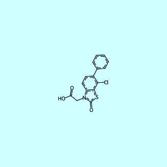 O=C(O)Cn1c(=O)sc2c(Cl)c(-c3ccccc3)ccc21